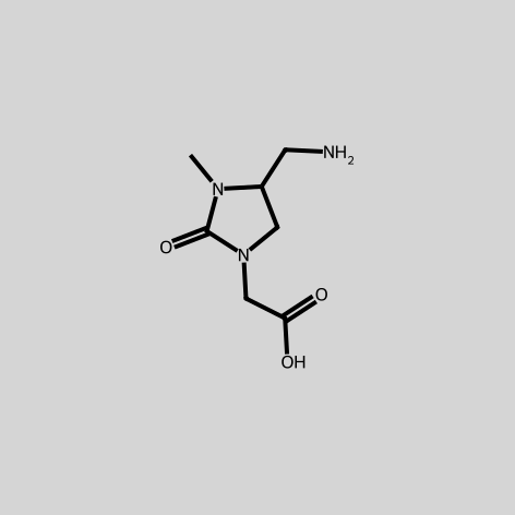 CN1C(=O)N(CC(=O)O)CC1CN